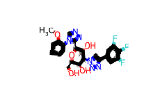 COc1ccccc1-n1cnnc1[C@@H]1O[C@H](CO)[C@H](O)[C@H](n2cc(-c3cc(F)c(F)c(F)c3)nn2)[C@H]1O